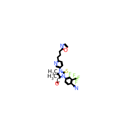 CC1(C)C(=C=O)N(c2ccc(C#N)c(C(F)(F)F)c2F)C(=S)N1c1ccc(CCCc2ncco2)nc1